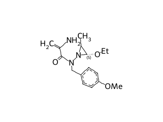 C=C(N)C(=O)N(Cc1ccc(OC)cc1)N1C(C)[C@@H]1OCC